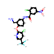 NCc1cc(NC(=O)c2cc([N+](=O)[O-])ccc2Cl)ccc1Oc1ncc(C(F)(F)F)cc1Cl